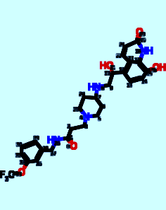 O=C(CCN1CCC(NC[C@@H](O)c2ccc(O)c3[nH]c(=O)ccc23)CC1)NCc1cccc(OC(F)(F)F)c1